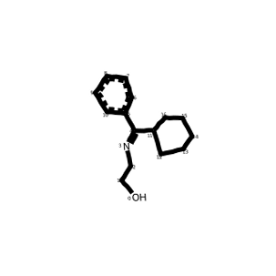 OCC/N=C(/c1ccccc1)C1CCCCC1